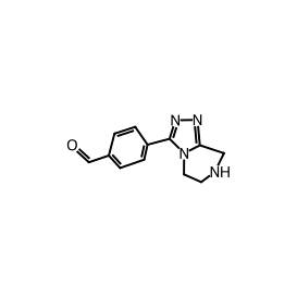 O=Cc1ccc(-c2nnc3n2CCNC3)cc1